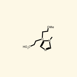 COCCOCCC(=O)O.Cn1ccnc1